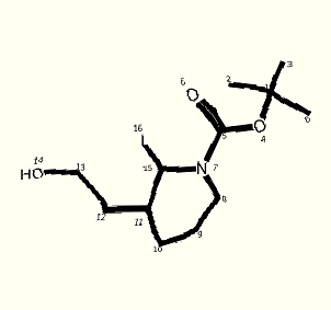 CC(C)(C)OC(=O)N1CCCC(CCO)C1I